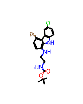 CC(C)(C)OC(=O)NCCNc1ccc(Br)c2c1[nH]c1ccc(Cl)cc12